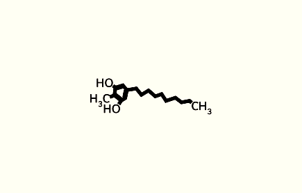 CCCCCCCCCCc1cc(O)c(C)c(O)c1